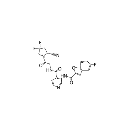 N#C[C@@H]1CC(F)(F)CN1C(=O)CNC(=O)c1ccncc1NC(=O)c1cc2cc(F)ccc2o1